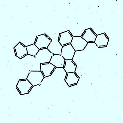 c1ccc2c(c1)Sc1cc3c(cc1S2)N(c1cccc2c1sc1ccccc12)B1c2cccc4c2C(Cc2c-4ccc4ccccc24)c2cc4ccccc4c-3c21